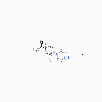 CC(C)c1ccc(N2CCNCC2)c(F)c1